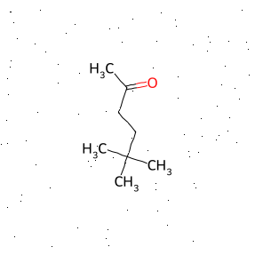 CC(=O)CCC(C)(C)C